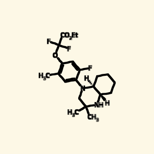 CCOC(=O)C(F)(F)Oc1cc(F)c(N2CC(C)(C)N[C@H]3CCCC[C@@H]32)cc1C